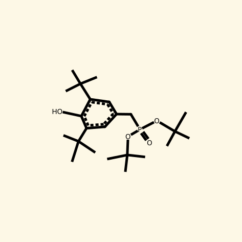 CC(C)(C)OP(=O)(Cc1cc(C(C)(C)C)c(O)c(C(C)(C)C)c1)OC(C)(C)C